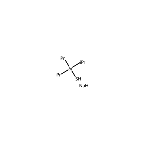 CC(C)[Si](S)(C(C)C)C(C)C.[NaH]